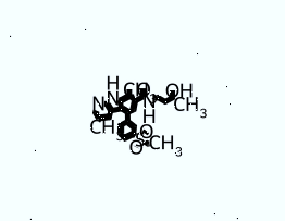 CCS(=O)(=O)c1cccc(-c2cc(C(=O)NCC[C@H](C)O)c(C)c3[nH]c4ncc(C)cc4c23)c1